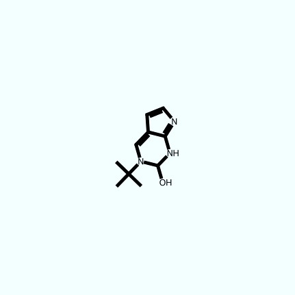 CC(C)(C)N1C=C2C=CN=C2NC1O